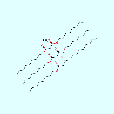 CCCCCCCCOC(=O)CC(=O)OCCCCCCCC.CCCCCCCCOC(=O)CC(=O)OCCCCCCCC.CCCCCCCCOC(=O)CC(=O)OCCCCCCCC.[InH3]